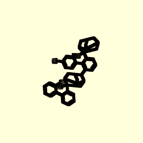 OC1(c2ccccc2-c2ccccc2Cl)C2CC3CC1CC(C2)C3c1cccc(C2(O)C3CC4CC(C3)CC2C4)c1-c1ccc(Cl)cc1